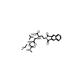 CNC(=O)[C@H](CCSC)NC(=O)[C@H](CC(C)C)NC(CCN1C(=O)c2cc3ccccc3cc2C1=O)C(=O)O